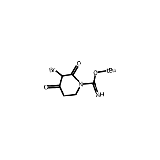 CC(C)(C)OC(=N)N1CCC(=O)C(Br)C1=O